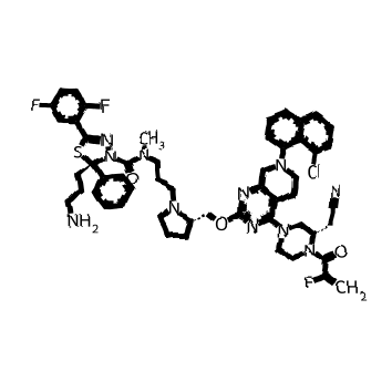 C=C(F)C(=O)N1CCN(c2nc(OC[C@@H]3CCCN3CCCN(C)C(=O)N3N=C(c4cc(F)ccc4F)S[C@@]3(CCCN)c3ccccc3)nc3c2CCN(c2cccc4cccc(Cl)c24)C3)C[C@@H]1CC#N